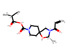 C=CC(=O)N1CC2(CCN(C(=O)OC(=O)[C@@H](NC)C(C)C)CC2)O[C@H]1C